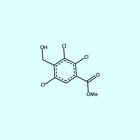 COC(=O)c1cc(Cl)c(CO)c(Cl)c1Cl